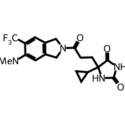 CNc1cc2c(cc1C(F)(F)F)CN(C(=O)CCC1(C3CC3)NC(=O)NC1=O)C2